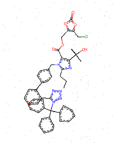 CCCc1nc(C(C)(C)O)c(C(=O)OCc2oc(=O)oc2CCl)n1Cc1ccc(-c2ccccc2-c2nnnn2C(c2ccccc2)(c2ccccc2)c2ccccc2)cc1